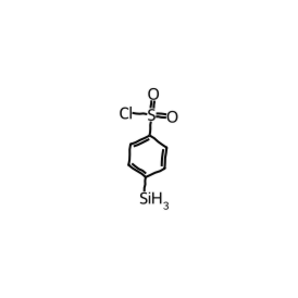 O=S(=O)(Cl)c1ccc([SiH3])cc1